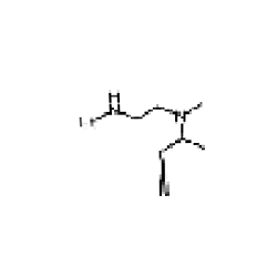 C#CCC(C)N(C)CCNCC